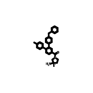 Cc1ccc(-c2ccc(C(=O)N3CC[C@](C)(N)C3)cc2-c2ccc(Cc3ccccc3)cc2)cc1